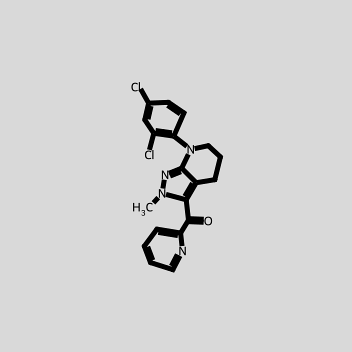 Cn1nc2c(c1C(=O)c1ccccn1)CCCN2c1ccc(Cl)cc1Cl